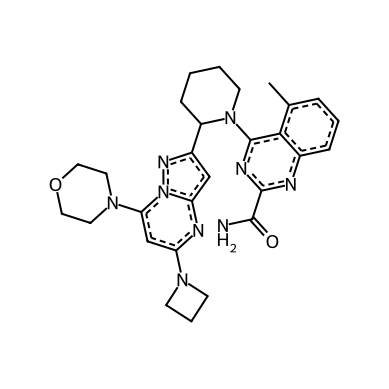 Cc1cccc2nc(C(N)=O)nc(N3CCCCC3c3cc4nc(N5CCC5)cc(N5CCOCC5)n4n3)c12